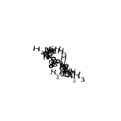 COC(=O)N[C@H](C(=O)N1CCC[C@H]1c1ncc(-c2ccc3c4ccc(-c5cnc([C@@H]6CCCN6C(=O)[C@@H](N)[C@@H](C)OC)[nH]5)cc4n(S(=O)(=O)c4ccccc4)c3c2)[nH]1)[C@@H](C)OC